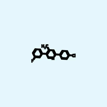 Cc1cc(-c2ccc(Cl)cc2)ncc1-c1cccc(F)c1